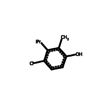 Cc1c(O)ccc(Cl)c1C(C)C